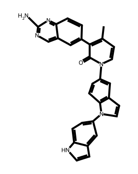 Cc1ccn(-c2ccc3c(ccn3-c3ccc4[nH]ccc4c3)c2)c(=O)c1-c1ccc2nc(N)ncc2c1